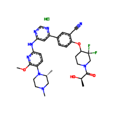 COc1nc(Nc2cc(-c3ccc(OC4CCN(C(=O)[C@@H](C)O)CC4(F)F)c(C#N)c3)ncn2)ccc1N1CCN(C)C[C@H]1C.Cl